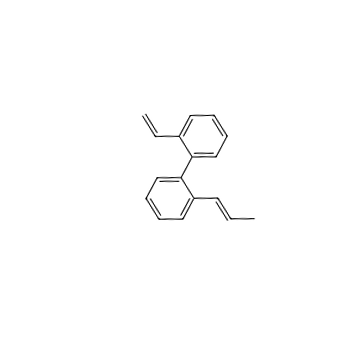 C=Cc1ccccc1-c1ccccc1C=CC